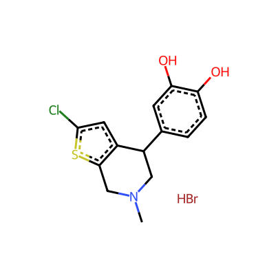 Br.CN1Cc2sc(Cl)cc2C(c2ccc(O)c(O)c2)C1